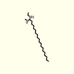 CCCCCCCCCCCCCCCCCCCC(NCC)N(C)C